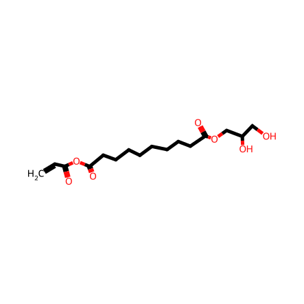 C=CC(=O)OC(=O)CCCCCCCCC(=O)OCC(O)CO